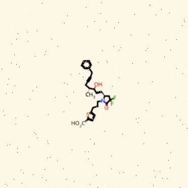 C[C@H](CC#CCc1ccccc1)[C@@H](O)C=C[C@H]1CC(F)(F)C(=O)N1CCCc1ccc(C(=O)O)s1